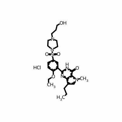 CCCc1cn(C)c2c(=O)[nH]c(-c3cc(S(=O)(=O)N4CCN(CCCO)CC4)ccc3OCC)nc12.Cl